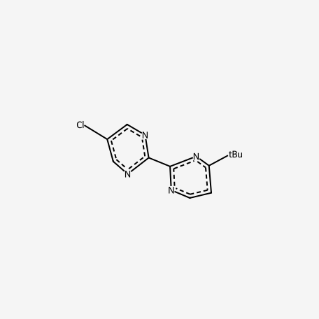 CC(C)(C)c1ccnc(-c2ncc(Cl)cn2)n1